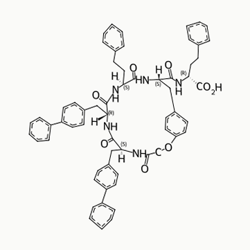 O=C1COc2ccc(cc2)C[C@@H](C(=O)N[C@H](CCc2ccccc2)C(=O)O)NC(=O)[C@H](CCc2ccccc2)NC(=O)[C@@H](Cc2ccc(-c3ccccc3)cc2)NC(=O)[C@H](Cc2ccc(-c3ccccc3)cc2)N1